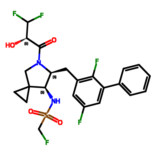 O=C([C@H](O)C(F)F)N1CC2(CC2)[C@H](NS(=O)(=O)CF)[C@@H]1Cc1cc(F)cc(-c2ccccc2)c1F